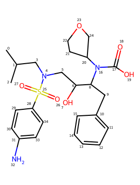 CC(C)CN(CC(O)C(Cc1ccccc1)N(C(=O)O)C1CCOC1)S(=O)(=O)c1ccc(N)cc1